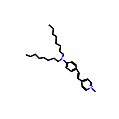 CCCCCCCCN(CCCCCCCC)c1ccc(C=Cc2cc[n+](C)cc2)cc1